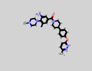 CCN1CCN(c2c(C)cc(C(=O)N3CCC(c4ccc(Oc5ccc(C(F)(F)F)nn5)cc4)CC3)cc2N)CC1